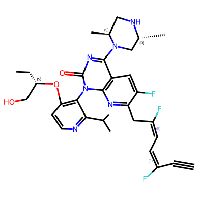 C#C/C(F)=C\C=C(\F)Cc1nc2c(cc1F)c(N1C[C@@H](C)NC[C@@H]1C)nc(=O)n2-c1c(O[C@@H](CC)CO)ccnc1C(C)C